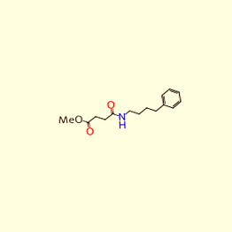 COC(=O)CCC(=O)NCCCCc1ccccc1